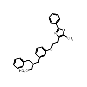 Cc1oc(-c2ccccc2)nc1CCOc1cccc(CN(CC(=O)O)Cc2ccccc2)c1